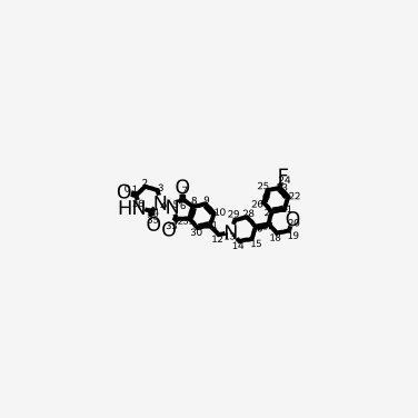 O=C1CCN(N2C(=O)c3ccc(CN4CCC(=C5CCOc6cc(F)ccc65)CC4)cc3C2=O)C(=O)N1